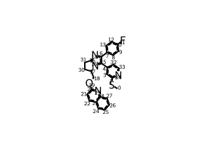 CSc1cc(-c2c(-c3ccc(F)cc3)nc3n2C(COc2ccc4ccccc4n2)CC3)ccn1